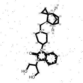 O=c1n(C(CO)CO)c2ccccc2n1C1CCN(C[C@@H]2[C@@H]3CC[C@@H](C3)C23CC3)CC1